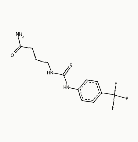 NC(=O)CCCNC(=S)Nc1ccc(C(F)(F)F)cc1